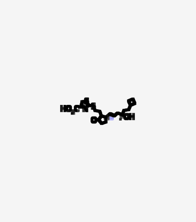 C[C@](O)(C/C=C/[C@H]1CCC(=O)C1CCSc1nc(C(=O)O)cs1)CCC1CCC1